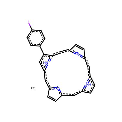 Ic1ccc(-c2cc3cc4nc(cc5ccc(cc6nc(cc2[nH]3)C=C6)[nH]5)C=C4)cc1.[Pt]